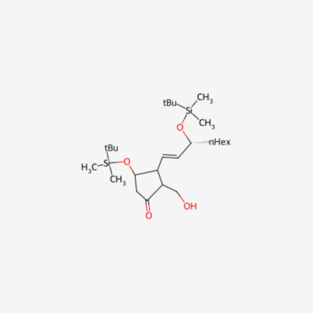 CCCCCC[C@H](C=CC1C(O[Si](C)(C)C(C)(C)C)CC(=O)C1CO)O[Si](C)(C)C(C)(C)C